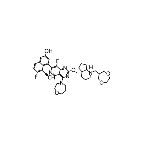 C#Cc1c(F)ccc2cc(O)cc(-c3ncc4c(N5CCCOCC5)nc(OC[C@]56CCC[C@H]5N(CC5COCCOC5)CCC6)nc4c3F)c12